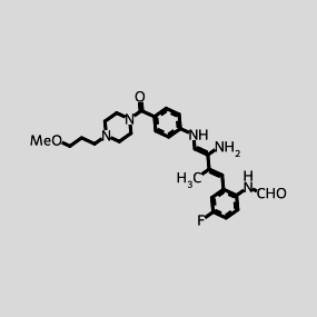 COCCCN1CCN(C(=O)c2ccc(N/C=C(N)/C(C)=C/c3cc(F)ccc3NC=O)cc2)CC1